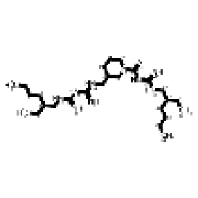 CCCCC(CC)CNC(=N)NC(=N)NCC1CCCN(C(=N)NC(=N)NCC(CC)CCCC)C1